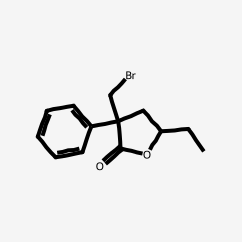 CCC1CC(CBr)(c2ccccc2)C(=O)O1